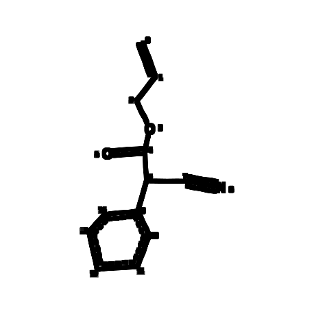 C=CCOC(=O)C(C#N)c1ccccc1